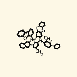 Cc1cc2c3c(c1)N(c1ccc(-c4ccccc4)cc1C)c1cc4c(cc1B3N(c1cccc3c1oc1ccccc13)c1cc3ccccc3cc1-2)Oc1ccccc1O4